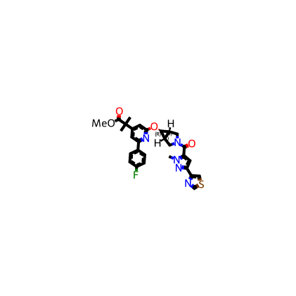 COC(=O)C(C)(C)c1cc(O[C@@H]2[C@@H]3CN(C(=O)c4cc(-c5cscn5)nn4C)C[C@@H]32)nc(-c2ccc(F)cc2)c1